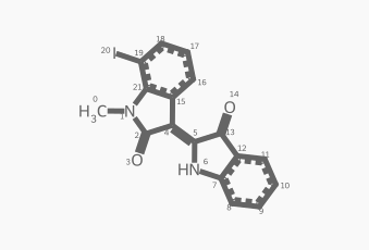 CN1C(=O)/C(=C2\Nc3ccccc3C2=O)c2cccc(I)c21